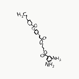 C=CCC1CCC(C(=O)Oc2ccc(/C=C/C(=O)OCCCCOC(=O)c3cc(N)cc(N)c3)cc2)CC1